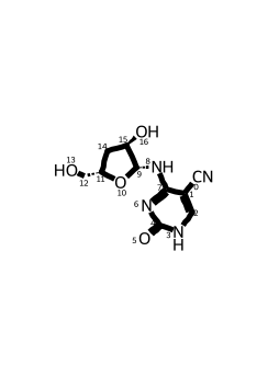 N#Cc1c[nH]c(=O)nc1N[C@@H]1O[C@H](CO)C[C@H]1O